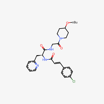 CCCCOC1CCN(C(=O)CNC(=O)[C@H](Cc2ccccn2)NC(=O)C=Cc2ccc(Cl)cc2)CC1